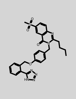 CCCCc1nc2ccc(S(C)(=O)=O)cc2c(=O)n1Cc1ccc(OCc2ccccc2-c2nnn[nH]2)cc1